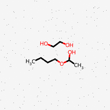 CCCCOC(C)O.OCCO